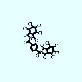 O=C(c1ccc(C(=O)N2C(=O)c3c(Cl)c(Cl)c(Cl)c(Cl)c3C2=O)cc1)N1C(=O)c2c(Cl)c(Cl)c(Cl)c(Cl)c2C1=O